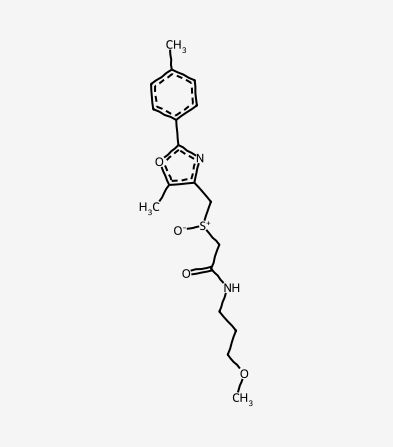 COCCCNC(=O)C[S+]([O-])Cc1nc(-c2ccc(C)cc2)oc1C